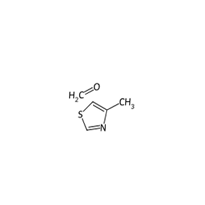 C=O.Cc1cscn1